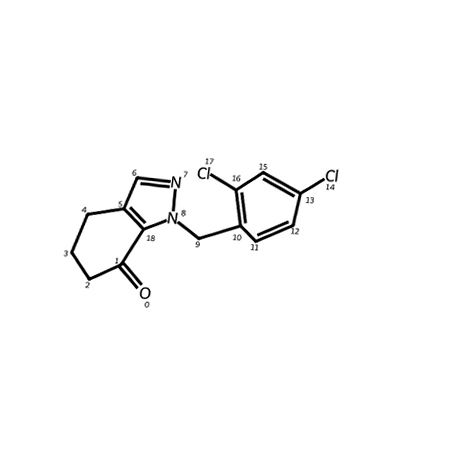 O=C1CCCc2cnn(Cc3ccc(Cl)cc3Cl)c21